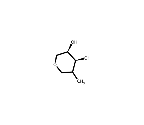 CC1COC[C@@H](O)[C@H]1O